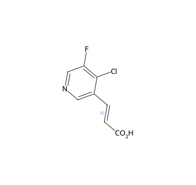 O=C(O)/C=C/c1cncc(F)c1Cl